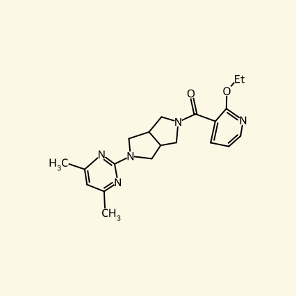 CCOc1ncccc1C(=O)N1CC2CN(c3nc(C)cc(C)n3)CC2C1